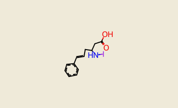 O=C(O)CC(CC=Cc1ccccc1)NI